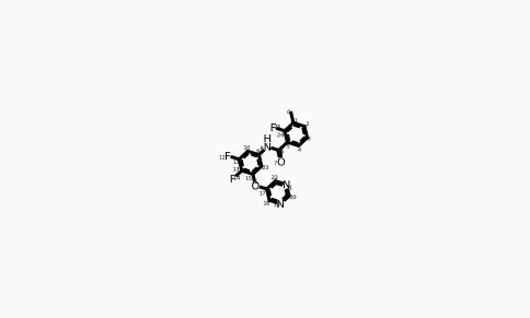 Cc1cccc(C(=O)Nc2cc(F)c(F)c(Oc3cncnc3)c2)c1F